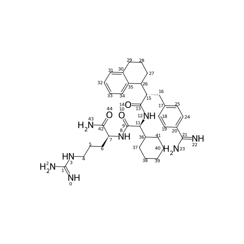 N=C(N)NCCC[C@H](NC(=O)[C@@H](NC(=O)[C@@H](Cc1ccc(C(=N)N)cc1)C1CCCc2ccccc21)C1CCCCC1)C(N)=O